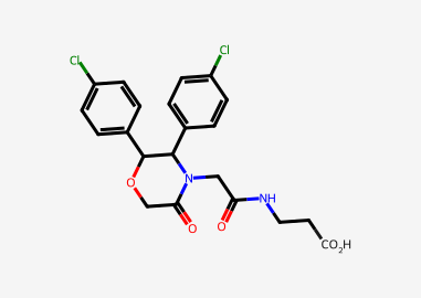 O=C(O)CCNC(=O)CN1C(=O)COC(c2ccc(Cl)cc2)C1c1ccc(Cl)cc1